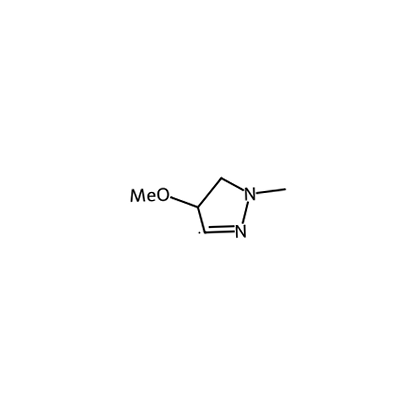 COC1[C]=NN(C)C1